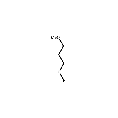 [CH2]COCCCO[CH2]